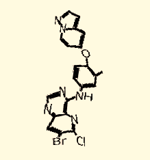 Cc1cc(Nc2ncnc3cc(Br)c(Cl)nc23)ccc1Oc1ccn2nccc2c1